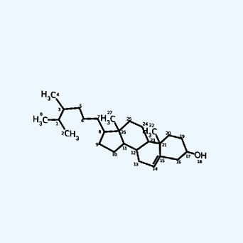 CC(C)C(C)CCCC1CCC2C3CC=C4CC(O)CCC4(C)C3CCC12C